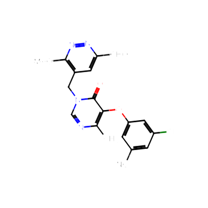 COc1nnc(C=O)cc1Cn1cnc(C)c(Oc2cc(Cl)cc(C#N)c2)c1=O